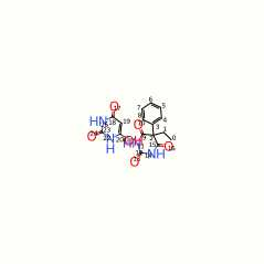 CCC1(c2ccccc2)C(=O)NC(=O)NC1=O.O=c1cc(O)[nH]c(=O)[nH]1